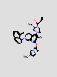 C=CC(=O)N1CCN(c2c(C#N)c(OC(C)CN3CC[C@H](OC)C3)nc3c2CCN(C2=CC=CC4C=CC=C(C)C24)C3)C[C@@H]1CC#N